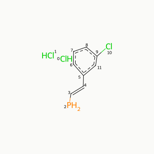 Cl.Cl.PC=Cc1cccc(Cl)c1